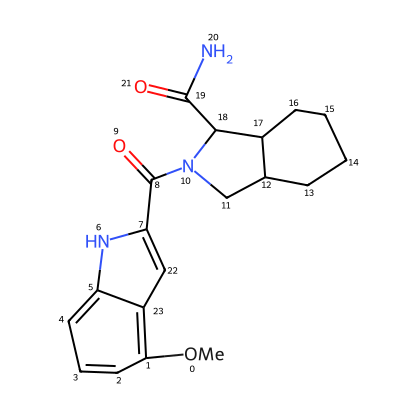 COc1cccc2[nH]c(C(=O)N3CC4CCCCC4C3C(N)=O)cc12